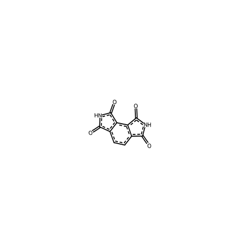 O=c1[nH]c(=O)c2c1ccc1c(=O)[nH]c(=O)c12